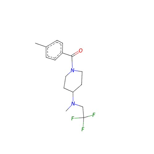 Cc1ccc(C(=O)N2CCC(N(C)CC(F)(F)F)CC2)cc1